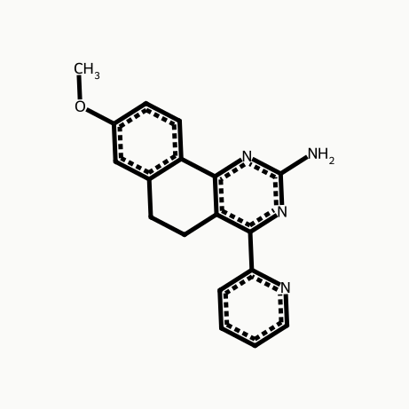 COc1ccc2c(c1)CCc1c(-c3ccccn3)nc(N)nc1-2